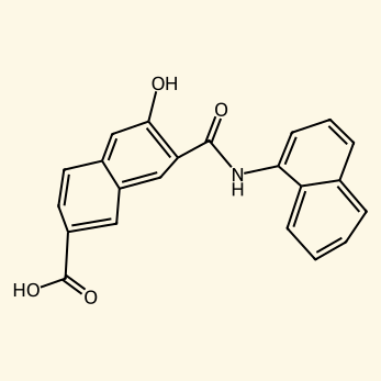 O=C(O)c1ccc2cc(O)c(C(=O)Nc3cccc4ccccc34)cc2c1